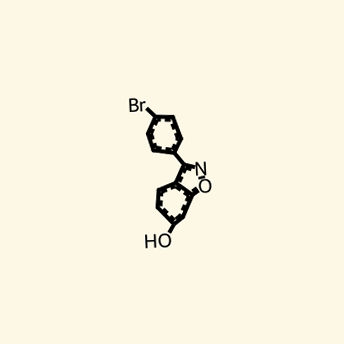 Oc1ccc2c(-c3ccc(Br)cc3)noc2c1